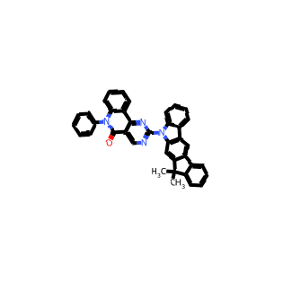 CC1(C)c2ccccc2-c2cc3c4ccccc4n(-c4ncc5c(=O)n(-c6ccccc6)c6ccccc6c5n4)c3cc21